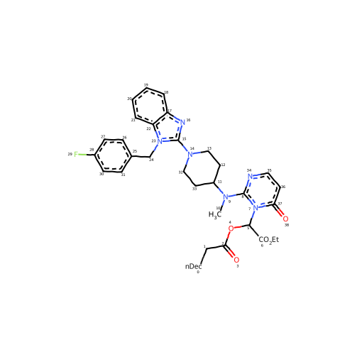 CCCCCCCCCCCC(=O)OC(C(=O)OCC)n1c(N(C)C2CCN(c3nc4ccccc4n3Cc3ccc(F)cc3)CC2)nccc1=O